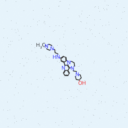 CN1CCN(CCCNc2ccc3c(c2)c2nc4ccccc4c4c2n3CCCN4CCN2CCC(O)CC2)CC1